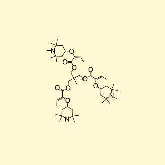 CC=C(OC1CC(C)(C)N(C)C(C)(C)C1)C(=O)OCC(C)(COC(=O)C(=CC)OC1CC(C)(C)N(C)C(C)(C)C1)COC(=O)C(=CC)OC1CC(C)(C)N(C)C(C)(C)C1